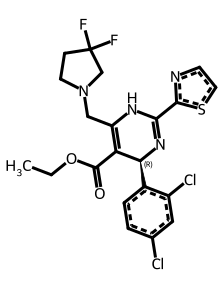 CCOC(=O)C1=C(CN2CCC(F)(F)C2)NC(c2nccs2)=N[C@H]1c1ccc(Cl)cc1Cl